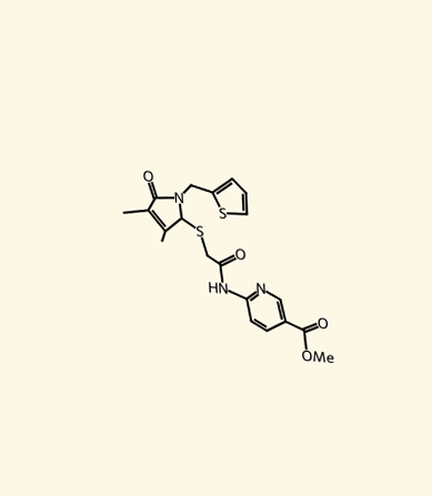 COC(=O)c1ccc(NC(=O)CSC2C(C)=C(C)C(=O)N2Cc2cccs2)nc1